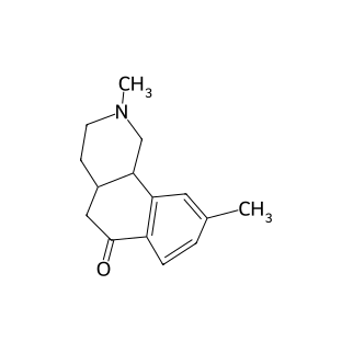 Cc1ccc2c(c1)C1CN(C)CCC1CC2=O